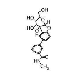 CNC(=O)c1cccc(-c2ccc3c(c2)[C@@]2(O)[C@@H](O3)O[C@H](CO)[C@@H](O)[C@@H]2O)c1